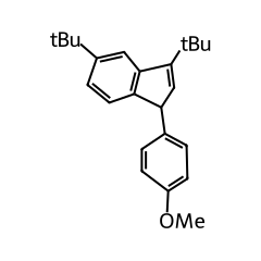 COc1ccc(C2C=C(C(C)(C)C)c3cc(C(C)(C)C)ccc32)cc1